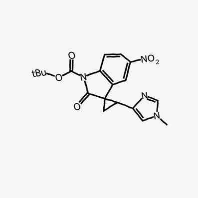 Cn1cnc(C2CC23C(=O)N(C(=O)OC(C)(C)C)c2ccc([N+](=O)[O-])cc23)c1